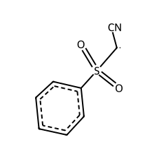 N#C[CH]S(=O)(=O)c1ccccc1